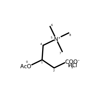 CC(=O)OC(CC(=O)[O-])C[N+](C)(C)C.Cl